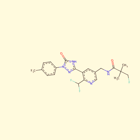 CC(C)(CF)C(=O)NCc1cnc(C(F)F)c(-c2nn(-c3ccc(C(F)(F)F)cc3)c(=O)[nH]2)c1